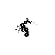 CC#CC(=O)N1CC(C2CCNn3c2nc(-c2ccc(Oc4ccccc4)cc2)c3C(N)=O)C1